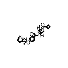 O=C(C1CCC1)N1C[C@@H]2C[C@H]1CN2Cc1coc2cc(Oc3nc4ncccc4s3)ccc12